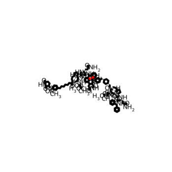 Cn1c(=O)n(C2CCC(=O)NC2=O)c2ccc(CCCCCCC(=O)N3CC[C@H]4CC[C@@H](C(=O)N[C@H](CCC(N)=O)C(=O)NC(c5ccccc5)c5cccc(C6CC(=O)NC(=O)C6n6c(=O)n(C)c7cc(C[C@H]8CC[C@@H](CC(=O)N9CC[C@H]%10CC[C@@H](C(=O)N[C@@H](CCC(N)=O)C(=O)NC(c%11ccccc%11)c%11ccccc%11)N%10C(=O)[C@@H](NC(=O)OC(C)(C)C)C9)CC8)ccc76)c5)N4C(=O)[C@@H](NC(=O)OC(C)(C)C)C3)cc21